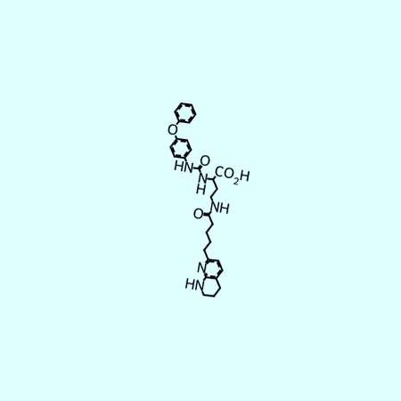 O=C(CCCCc1ccc2c(n1)NCCC2)NCCC(NC(=O)Nc1ccc(Oc2ccccc2)cc1)C(=O)O